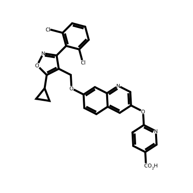 O=C(O)c1ccc(Oc2cnc3cc(OCc4c(-c5c(Cl)cccc5Cl)noc4C4CC4)ccc3c2)nc1